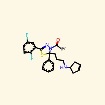 CC(C)C(=O)N1N=C(c2cc(F)ccc2F)SC1(CCCNC1CC=CC1)c1ccccc1